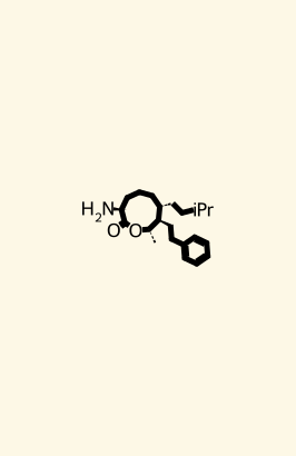 CC(C)CC[C@H]1CCC[C@H](N)C(=O)O[C@@H](C)[C@@H]1CCc1ccccc1